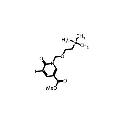 COC(=O)c1cc(I)c(=O)n(COCC[Si](C)(C)C)c1